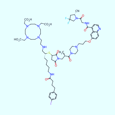 C[C@H](CN1C(=O)CC(S[C@H](CCCCCNC(=O)CCCc2ccc(I)cc2)CNCCN2CCN(CC(=O)O)CCN(CC(=O)O)CCN(CC(=O)O)CC2)C1=O)C(=O)N1CCN(CCCOc2ccc3nccc(C(=O)NCC(=O)N4CC(F)(F)C[C@@H]4C#N)c3c2)CC1